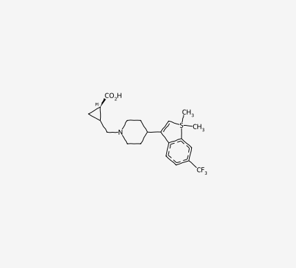 CS1(C)C=C(C2CCN(CC3C[C@H]3C(=O)O)CC2)c2ccc(C(F)(F)F)cc21